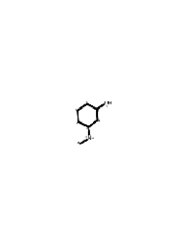 CN[C@H]1CCCC(O)C1